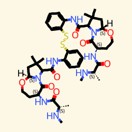 CN[C@@H](C)C(=O)N[C@H]1CCO[C@H]2CC(C)(C)C(C(=O)Nc3ccccc3SSc3ccccc3NC(=O)C3N4C(=O)[C@@H](NC(=O)[C@H](C)NC)CCO[C@H]4CC3(C)C)N2C1=O